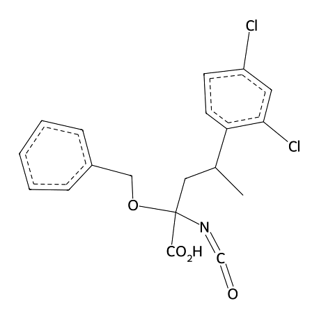 CC(CC(N=C=O)(OCc1ccccc1)C(=O)O)c1ccc(Cl)cc1Cl